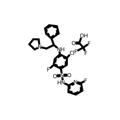 O=C(O)C(F)(F)F.O=S(=O)(Nc1cccc(F)n1)c1cc(Cl)c(NC(CN2CCCC2)c2ccccc2)cc1F